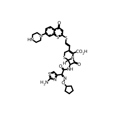 Nc1nc(C(=NOC2CCCC2)C(=O)NC2C(=O)N3C(C(=O)O)=C(C=CSc4cc(=O)c5ccc(N6CCNCC6)cc5s4)CS[C@@H]23)cs1